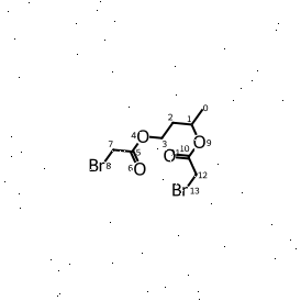 CC(CCOC(=O)CBr)OC(=O)CBr